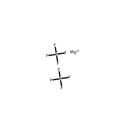 F[B-](F)(F)F.F[B-](F)(F)F.[Mg+2]